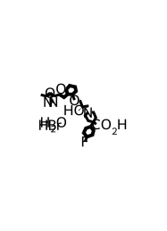 Br.Cc1nnc(-c2cc3c(OC[C@@H](O)CN4CCC(C(=O)O)(c5ccc(F)cc5)CC4)cccc3o2)o1.O